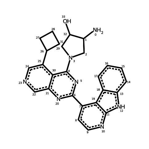 NC1CN(c2nc(-c3ccnc4[nH]c5ccccc5c34)nc3cncc(C4CCC4)c23)CC1O